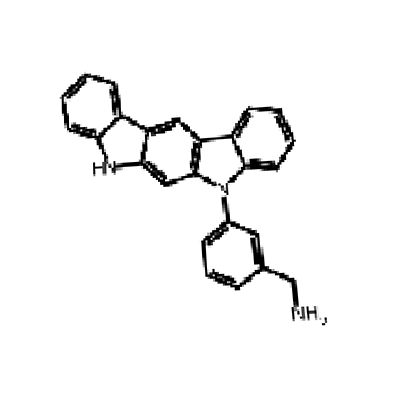 NCc1cccc(-n2c3ccccc3c3cc4c(cc32)[nH]c2ccccc24)c1